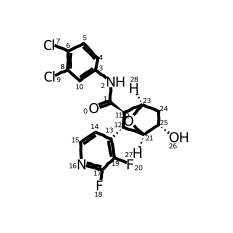 O=C(Nc1ccc(Cl)c(Cl)c1)[C@@H]1[C@@H](c2ccnc(F)c2F)[C@H]2O[C@@H]1C[C@@H]2O